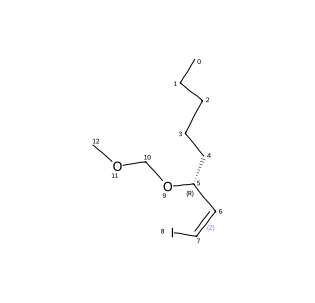 CCCCC[C@H](/C=C\I)OCOC